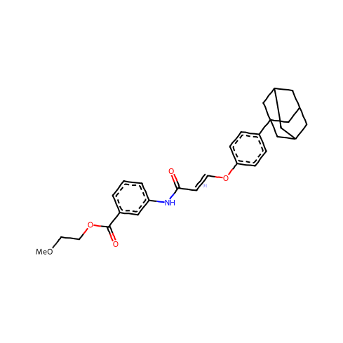 COCCOC(=O)c1cccc(NC(=O)/C=C/Oc2ccc(C34CC5CC(CC(C5)C3)C4)cc2)c1